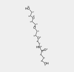 O=C(CCCO)NCCOCCOCCOCCO